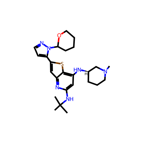 CN1CCC[C@@H](Nc2cc(NC(C)(C)C)nc3cc(-c4ccnn4C4CCCCO4)sc23)C1